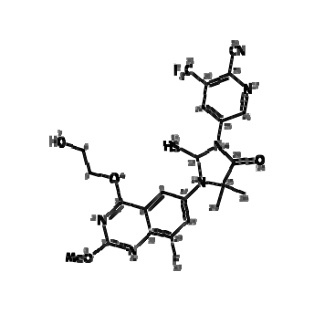 COc1nc(OCCO)c2cc(N3C(S)N(c4cnc(C#N)c(C(F)(F)F)c4)C(=O)C3(C)C)cc(F)c2n1